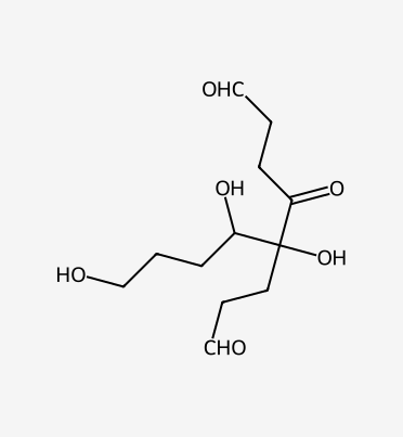 O=CCCC(=O)C(O)(CCC=O)C(O)CCCO